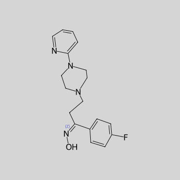 O/N=C(/CCN1CCN(c2ccccn2)CC1)c1ccc(F)cc1